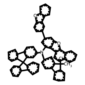 CC1(C)c2ccccc2-c2ccc(N(c3ccc4c(c3)C3(c5ccccc5-c5ccccc53)c3ccccc3-4)c3cc(-c4ccc5oc6ccccc6c5c4)cc4oc5c6ccccc6ccc5c34)cc21